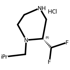 CC(C)CN1CCNC[C@@H]1C(F)F.Cl